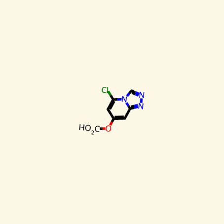 O=C(O)Oc1cc(Cl)n2cnnc2c1